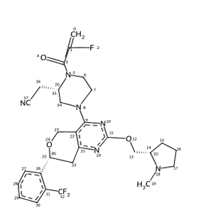 C=C(F)C(=O)N1CCN(c2nc(OC[C@@H]3CCCN3C)nc3c2CO[C@@H](c2ccccc2C(F)(F)F)C3)C[C@@H]1CC#N